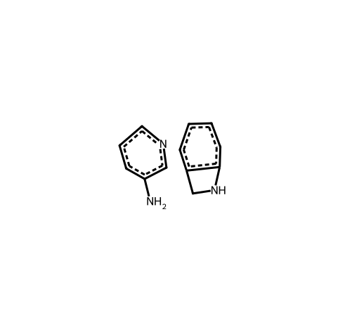 Nc1cccnc1.c1ccc2c(c1)CN2